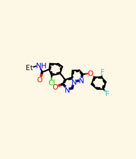 CCNC(=O)c1cccc(-c2c(=O)ncn3nc(Oc4ccc(F)cc4F)ccc23)c1Cl